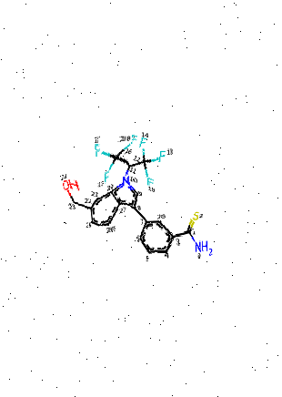 NC(=S)c1cccc(-c2cn(C(C(F)(F)F)C(F)(F)F)c3cc(CO)ccc23)c1